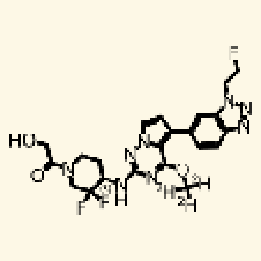 [2H]C([2H])([2H])Oc1nc(N[C@@H]2CCN(C(=O)CO)CC2(F)F)nn2ccc(-c3ccc4nnn(CCF)c4c3)c12